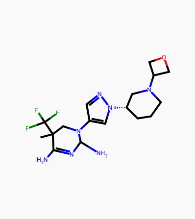 CC1(C(F)(F)F)CN(c2cnn([C@H]3CCCN(C4COC4)C3)c2)C(N)N=C1N